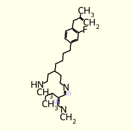 C=N/C=C(\C=N/CCC(CCCCc1ccc(CC(=C)C)c(F)c1)CCNC)CCC